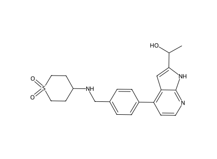 CC(O)c1cc2c(-c3ccc(CNC4CCS(=O)(=O)CC4)cc3)ccnc2[nH]1